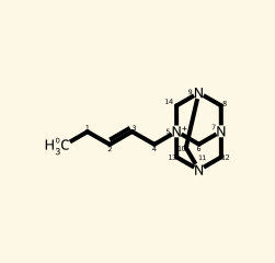 CC/C=C/C[N+]12CN3CN(CN(C3)C1)C2